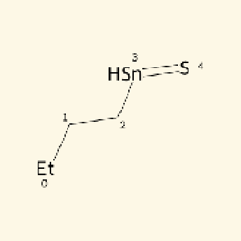 CCC[CH2][SnH]=[S]